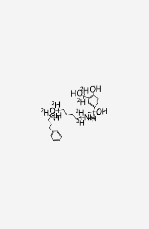 [2H]C([2H])(CCCCC([2H])([2H])OC([2H])([2H])CCCc1ccccc1)NCC([2H])(O)c1ccc(O)c(C([2H])([2H])O)c1